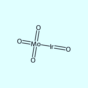 [O]=[Ir][Mo](=[O])(=[O])=[O]